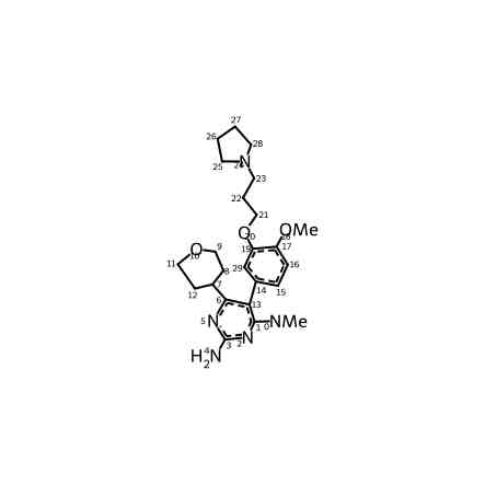 CNc1nc(N)nc(C2CCOCC2)c1-c1ccc(OC)c(OCCCN2CCCC2)c1